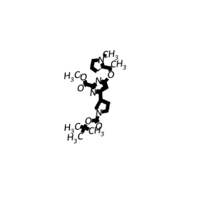 COC(=O)c1nc(O[C@@H](C)[C@@H]2CCCN2C)cc(C2CCN(C(=O)OC(C)(C)C)C2)n1